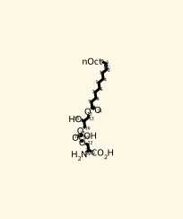 CCCCCCCC/C=C\CCCCCCCC(=O)OCC(O)COP(=O)(O)OCC(N)C(=O)O